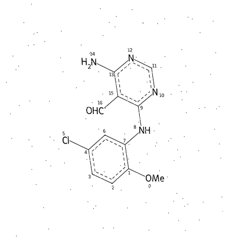 COc1ccc(Cl)cc1Nc1ncnc(N)c1C=O